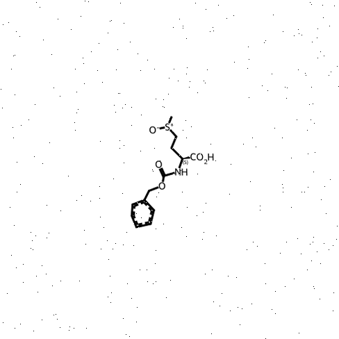 C[S+]([O-])CC[C@H](NC(=O)OCc1ccccc1)C(=O)O